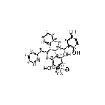 Oc1ccc(O)c(CN(CCN(Cc2ccccn2)Cc2cc(O)ccc2O)Cc2ccccn2)c1.[Br][Mn][Br]